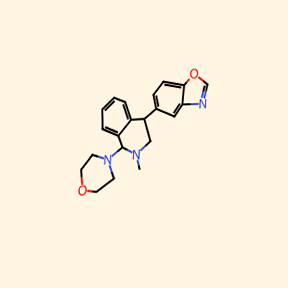 CN1CC(c2ccc3ocnc3c2)c2ccccc2C1N1CCOCC1